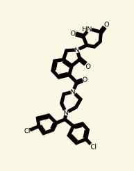 O=C1CCC(N2Cc3cccc(C(=O)N4CCN(C(c5ccc(Cl)cc5)c5ccc(Cl)cc5)CC4)c3C2=O)C(=O)N1